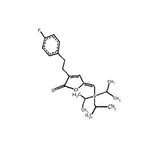 CC(C)[Si](/C=C1/C=C(CCc2ccc(F)cc2)C(=O)O1)(C(C)C)C(C)C